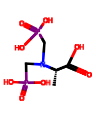 C[C@@H](C(=O)O)N(CP(=O)(O)O)CP(=O)(O)O